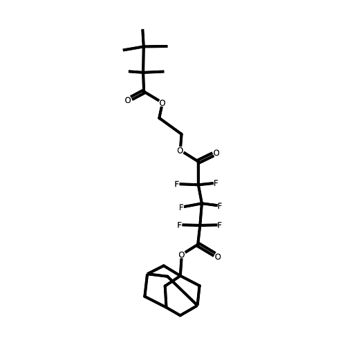 CC(C)(C)C(C)(C)C(=O)OCCOC(=O)C(F)(F)C(F)(F)C(F)(F)C(=O)OC12CC3CC(CC(C3)C1)C2